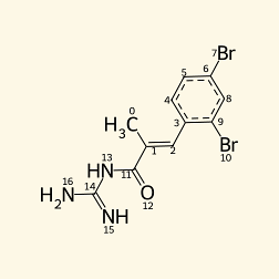 C/C(=C\c1ccc(Br)cc1Br)C(=O)NC(=N)N